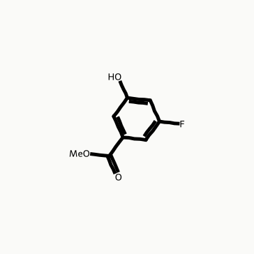 COC(=O)c1cc(O)cc(F)c1